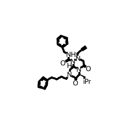 C#CCN1CC(=O)N2[C@@H](CC(C)C)C(=O)N(CCCCc3ccccc3)C[C@@H]2N1C(=O)NCc1ccccc1